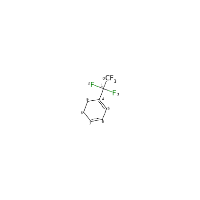 FC(F)(F)C(F)(F)C1=CC=CCC1